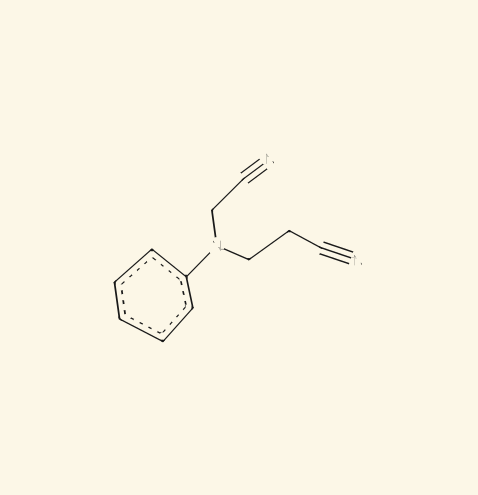 N#CCCN(CC#N)c1[c]cccc1